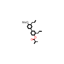 C=CCc1cc(-c2ccc(OC(=O)C(=C)C)c(CC=C)c2)ccc1OC